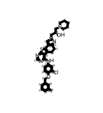 O[C@H](CN1CCCCC1)Cn1cc2c(n1)CCc1c-2sc2ncnc(Nc3ccc(OCc4cccc(F)c4)c(Cl)c3)c12